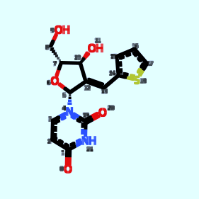 O=c1ccn([C@@H]2O[C@H](CO)[C@@H](O)C2=Cc2cccs2)c(=O)[nH]1